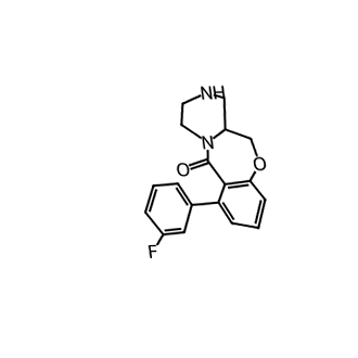 O=C1c2c(cccc2-c2cccc(F)c2)OCC2CNCCN12